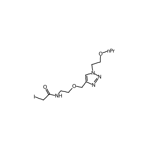 CCCOCCn1cc(COCCNC(=O)CI)nn1